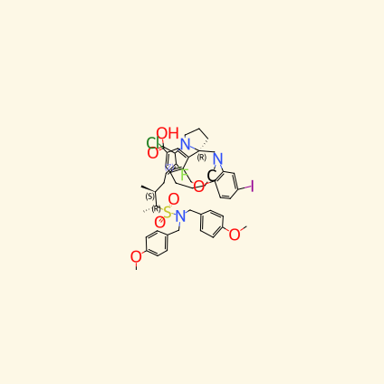 COc1ccc(CN(Cc2ccc(OC)cc2)S(=O)(=O)[C@H](C)[C@@H](C)C/C=C(\F)C(C(=O)O)N2CCC[C@@]23CN2CCCCc4cc(Cl)cc3c4COc3ccc(I)cc32)cc1